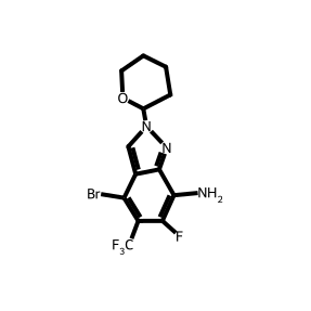 Nc1c(F)c(C(F)(F)F)c(Br)c2cn(C3CCCCO3)nc12